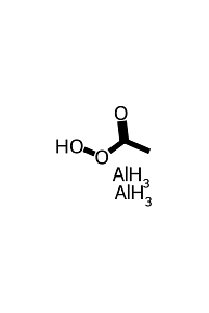 CC(=O)OO.[AlH3].[AlH3]